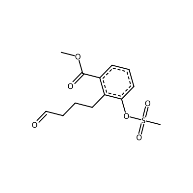 COC(=O)c1cccc(OS(C)(=O)=O)c1CCCC=O